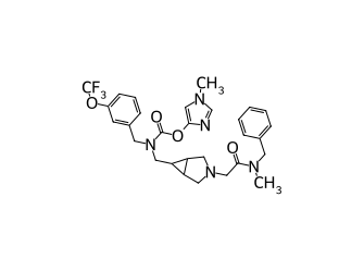 CN(Cc1ccccc1)C(=O)CN1CC2C(C1)C2CN(Cc1cccc(OC(F)(F)F)c1)C(=O)Oc1cn(C)cn1